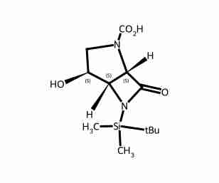 CC(C)(C)[Si](C)(C)N1C(=O)[C@@H]2[C@H]1[C@@H](O)CN2C(=O)O